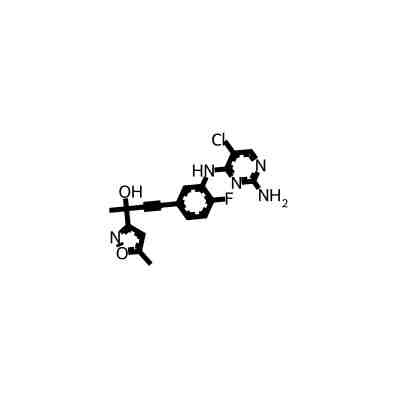 Cc1cc(C(C)(O)C#Cc2ccc(F)c(Nc3nc(N)ncc3Cl)c2)no1